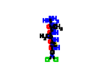 Cn1cc(NC(=O)c2csc(NC(=O)c3ccc(N(CCCl)CCCl)cc3)n2)cc1C(=O)Nc1cc(C(=O)NCCC(=N)N)n(C)n1